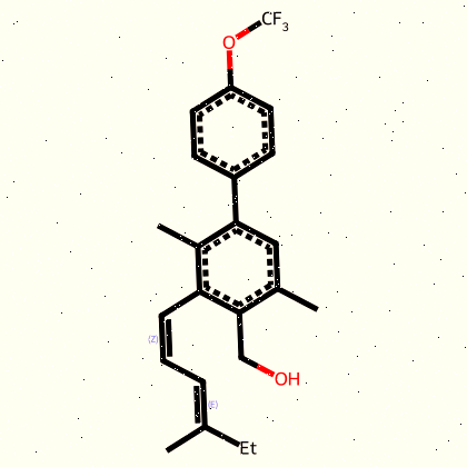 CC/C(C)=C/C=C\c1c(C)c(-c2ccc(OC(F)(F)F)cc2)cc(C)c1CO